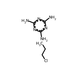 CCCCl.Nc1nc(N)nc(N)n1